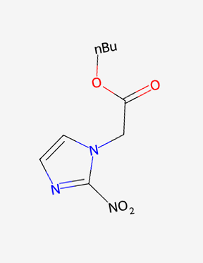 CCCCOC(=O)Cn1ccnc1[N+](=O)[O-]